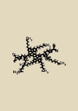 [C-]#[N+]C([N+]#[C-])=c1cc/c(=C\c2sc(-c3cc4c(s3)-c3cc5c(cc3C4(c3ccc(CCCCCC)cc3)c3ccc(CCCCCC)cc3)-c3sc(-c4sc(/C=c6\ccc(=C(C#N)C#N)s6)c6cc(S(=O)(=O)CCCCCCCC)sc46)cc3C5(c3ccc(CCCCCC)cc3)c3ccc(CCCCCC)cc3)c3sc(CCCCCCCC)cc23)s1